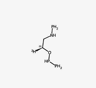 [2H][C@@H](CNP)OPP